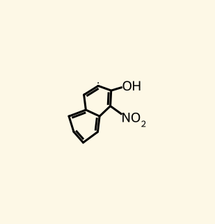 O=[N+]([O-])c1c(O)[c]cc2ccccc12